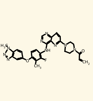 C=CC(=O)N1CCN(c2ccc3ncnc(Nc4ccc(Oc5ccc6c(c5)nnn6C)c(C)c4F)c3n2)CC1